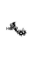 CN1CCOc2ccc(SNCC(=O)NC(CC3CC3)B(O)O)cc21